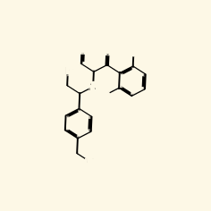 C=CC(NC(CBr)c1ccc(CCl)cc1)C(=O)c1c(F)cccc1F